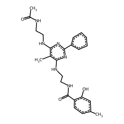 CC(=O)NCCNc1nc(-c2ccccc2)nc(NCCNC(=O)c2ccc(C)cc2O)c1C